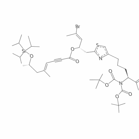 CC(=O)[C@H](CCCc1csc(C[C@@H](/C=C(\C)Br)OC(=O)C#C/C=C(\C)C[C@H](C)O[Si](C(C)C)(C(C)C)C(C)C)n1)N(C(=O)OC(C)(C)C)C(=O)OC(C)(C)C